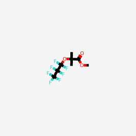 COC(=O)C(C)(C)OC(F)(F)C(F)(F)C(F)(F)F